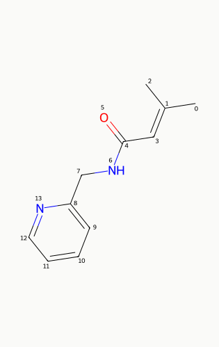 CC(C)=CC(=O)NCc1ccccn1